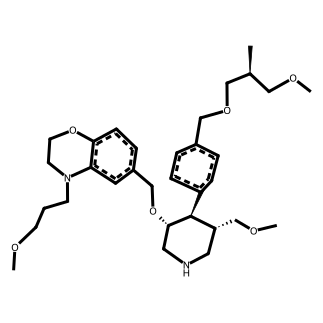 COCCCN1CCOc2ccc(CO[C@H]3CNC[C@@H](COC)[C@@H]3c3ccc(COC[C@@H](C)COC)cc3)cc21